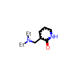 CCN(CC)Cc1ccc[nH]c1=O